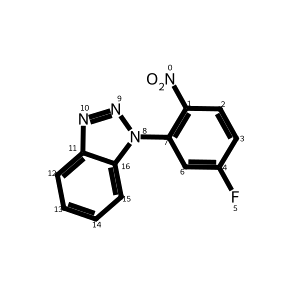 O=[N+]([O-])c1ccc(F)cc1-n1nnc2ccccc21